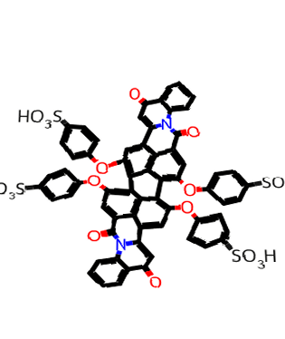 O=c1cc2c3cc(Oc4ccc(S(=O)(=O)O)cc4)c4c5c(Oc6ccc(S(=O)(=O)O)cc6)cc6c(=O)n7c8ccccc8c(=O)cc7c7cc(Oc8ccc(S(=O)(=O)O)cc8)c(c8c(Oc9ccc(S(=O)(=O)O)cc9)cc(c(=O)n2c2ccccc12)c3c84)c5c67